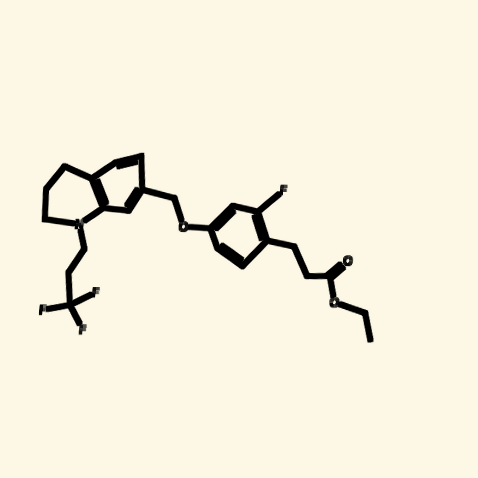 CCOC(=O)CCc1ccc(OCc2ccc3c(c2)N(CCC(F)(F)F)CCC3)cc1F